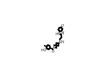 Cc1ccc(C(=O)N2CC3(CC(NCCc4nc5cc(Cl)ccc5[nH]4)C3)C2)cc1O